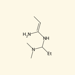 CC=C(N)NC(CC)N(C)C